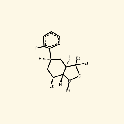 CC[C@H]1C[C@@](CC)(c2ccccc2F)C[C@@H]2[C@@H]1N(CC)OC2(CC)CC